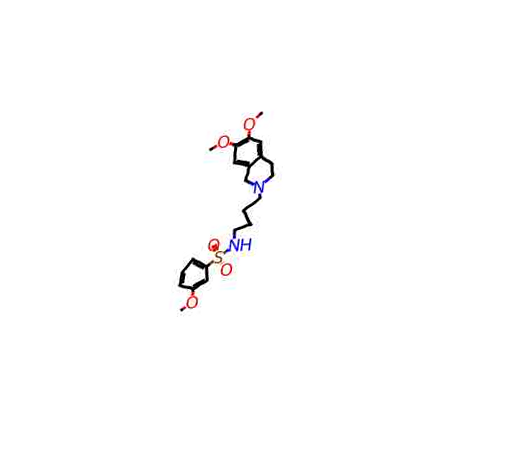 COc1cccc(S(=O)(=O)NCCCCN2CCc3cc(OC)c(OC)cc3C2)c1